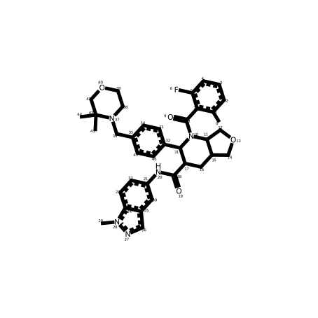 Cc1cccc(F)c1C(=O)N1C2COCC2CC(C(=O)Nc2ccc3c(cnn3C)c2)C1c1ccc(CN2CCOCC2(C)C)cc1